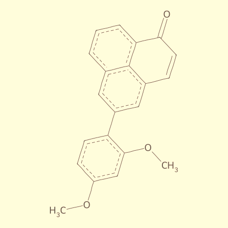 COc1ccc(-c2cc3c4c(cccc4c2)C(=O)C=C3)c(OC)c1